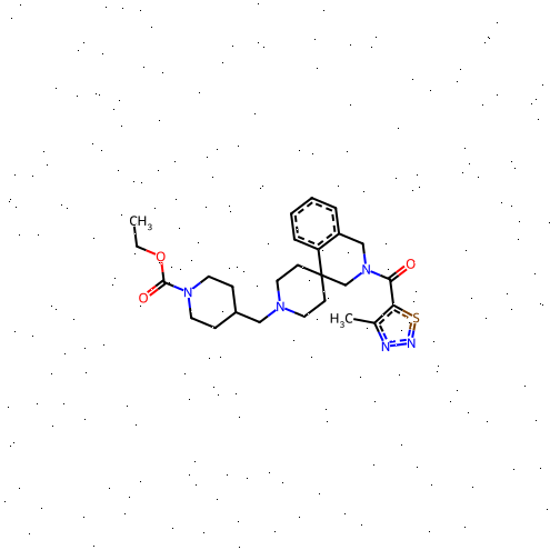 CCOC(=O)N1CCC(CN2CCC3(CC2)CN(C(=O)c2snnc2C)Cc2ccccc23)CC1